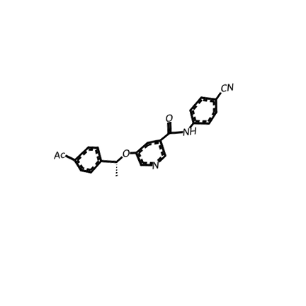 CC(=O)c1ccc([C@@H](C)Oc2cncc(C(=O)Nc3ccc(C#N)cc3)c2)cc1